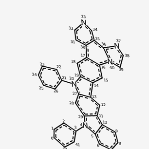 c1ccc(-n2c3ccccc3c3cc4c5cc6c(cc5n(-c5ccccc5)c4cc32)c2ccncc2c2nccn62)cc1